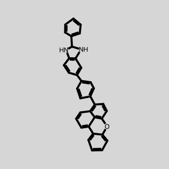 c1ccc(C2Nc3ccc(-c4ccc(-c5ccc6c7c(cccc57)-c5ccccc5O6)cc4)cc3N2)cc1